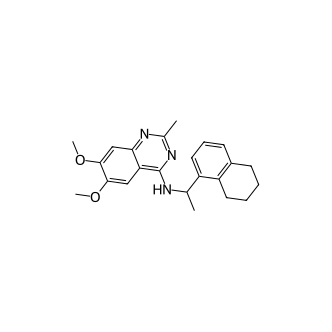 COc1cc2nc(C)nc(NC(C)c3cccc4c3CCCC4)c2cc1OC